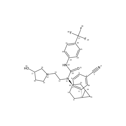 N#Cc1cccc([C@]23CC[C@@H](N(CCN4CCC(O)C4)C(=O)Nc4ccc(C(F)(F)F)cc4)CC2C3)c1